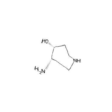 N[C@H]1CNC[C@H]1O